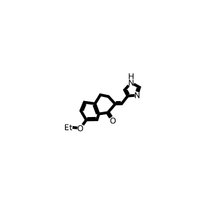 CCOc1ccc2c(c1)C(=O)C(=Cc1c[nH]cn1)CC2